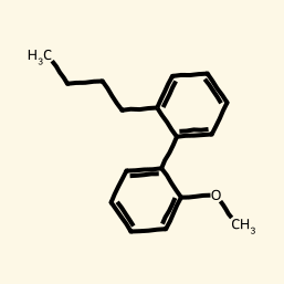 CCCCc1ccccc1-c1ccccc1OC